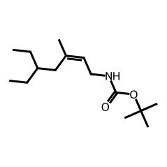 CCC(CC)C/C(C)=C\CNC(=O)OC(C)(C)C